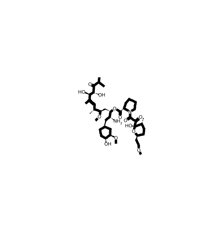 COCC[C@@H]1CC[C@@H](C)[C@](O)(C(=O)C(=O)N2CCCC[C@H]2C(=O)O[C@@H](C[C@@H](OC)[C@H](C)/C=C(\C)[C@@H](O)[C@@H](O)C(=O)C(C)C)[C@H](N)C[C@@H]2CC[C@@H](O)[C@H](OC)C2)O1